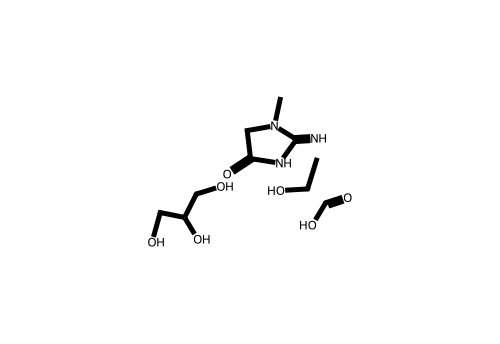 CCO.CN1CC(=O)NC1=N.O=CO.OCC(O)CO